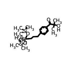 CC(C)(O)C(=O)c1ccc(CCC[Si](C)(O[Si](C)(C)C)O[Si](C)(C)C)cc1